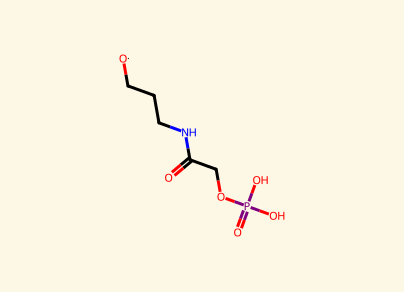 [O]CCCNC(=O)COP(=O)(O)O